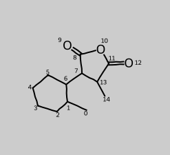 CC1CCCCC1C1C(=O)OC(=O)C1C